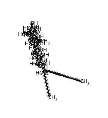 CCCCCCCCCCCCC/C=C/[C@@H](O)[C@H](CO[C@@H]1OC(CO)[C@@H](O[C@@H]2OC(CO)[C@H](O[C@@H]3OC(CO)[C@H](O)[C@H](O[C@@H]4OC(CO)[C@H](O)[C@H](O[C@@H]5OC(CO)[C@H](O)[C@H](O[C@]6(C(=O)O)CC(O)[C@@H](NC(=O)CO)C([C@H](O)[C@H](O)CO)O6)C5O)C4NC(C)=O)C3O)[C@H](O)C2O)[C@H](O)C1O)NC(=O)CCCCCCCCCCCCCCCCCCCCC